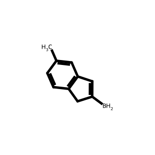 BC1=Cc2cc(C)ccc2C1